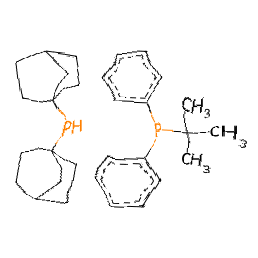 C1CC2(PC34CCC(CC3)C4)CCC1C2.CC(C)(C)P(c1ccccc1)c1ccccc1